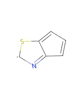 [CH]1N=C2C=CC=C2S1